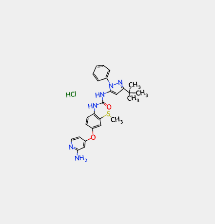 CSc1cc(Oc2ccnc(N)c2)ccc1NC(=O)Nc1cc(C(C)(C)C)nn1-c1ccccc1.Cl